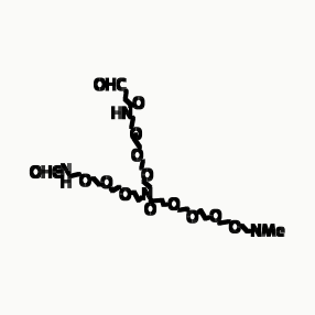 CNCCOCCOCCOCCOCCC(=O)N(CCOCCOCCOCCNC=O)CCOCCOCCOCCNC(=O)CCC=O